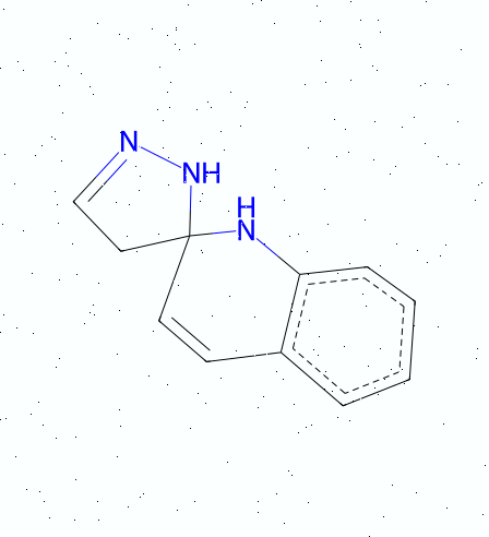 C1=CC2(CC=NN2)Nc2ccccc21